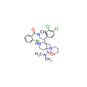 CN(C)C(=O)C1([N+]2(CCC(CN(C)C(=O)c3ccccc3Br)c3ccc(Cl)c(Cl)c3)CCCCC2)CCNCC1